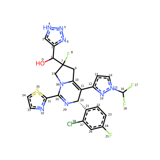 OC(c1c[nH]nn1)C1(F)CC2=C(c3ccn(C(F)F)n3)[C@H](c3ccc(F)cc3Cl)N=C(c3nccs3)N2C1